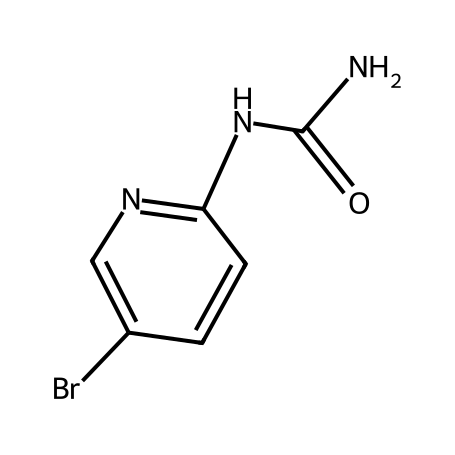 NC(=O)Nc1ccc(Br)cn1